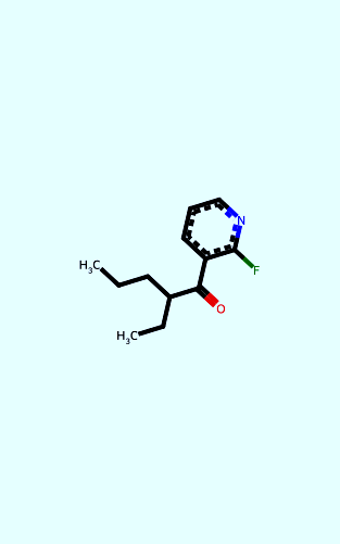 CCCC(CC)C(=O)c1cccnc1F